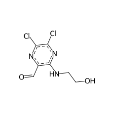 O=Cc1nc(Cl)c(Cl)nc1NCCO